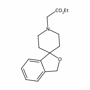 CCOC(=O)CN1CCC2(CC1)OCc1ccccc12